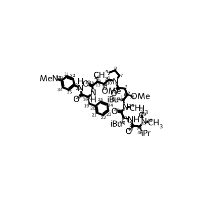 CC[C@H](C)[C@@H]([C@@H](CC(=O)N1CCC[C@H]1[C@H](OC)[C@@H](C)C(=O)N[C@@H](Cc1ccccc1)C(=O)Nc1ccc(NC)cc1)OC)N(C)C(=O)[C@@H](NC(=O)[C@H](C(C)C)N(C)C)[C@@H](C)CC